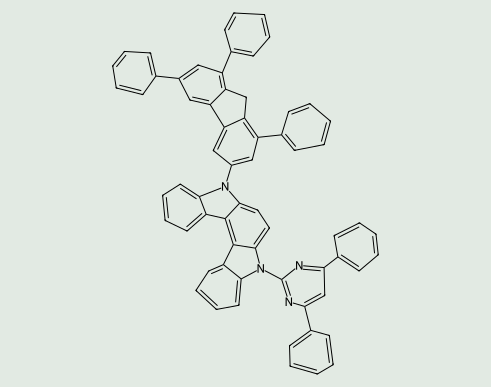 c1ccc(-c2cc(-c3ccccc3)c3c(c2)-c2cc(-n4c5ccccc5c5c6c7ccccc7n(-c7nc(-c8ccccc8)cc(-c8ccccc8)n7)c6ccc54)cc(-c4ccccc4)c2C3)cc1